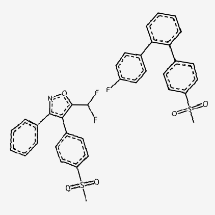 CS(=O)(=O)c1ccc(-c2c(-c3ccccc3)noc2C(F)F)cc1.CS(=O)(=O)c1ccc(-c2ccccc2-c2ccc(F)cc2)cc1